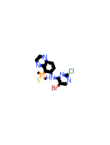 CP(C)(=S)c1c(Nc2nc(Cl)ncc2Br)ccc2nccnc12